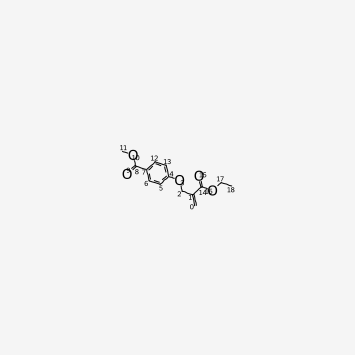 C=C(COc1ccc(C(=O)OC)cc1)C(=O)OCC